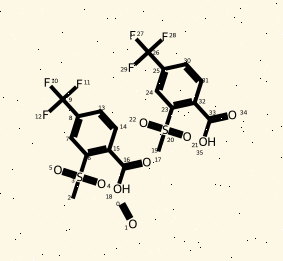 C=O.CS(=O)(=O)c1cc(C(F)(F)F)ccc1C(=O)O.CS(=O)(=O)c1cc(C(F)(F)F)ccc1C(=O)O